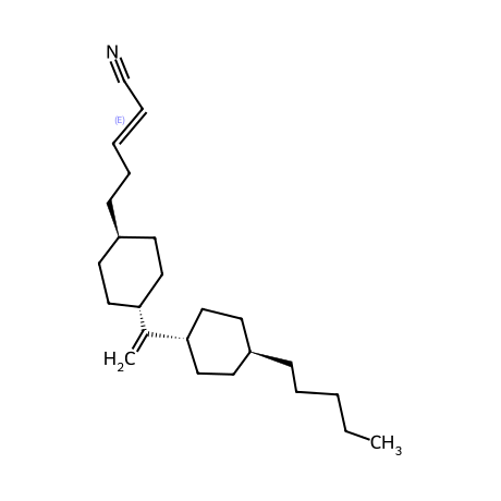 C=C([C@H]1CC[C@H](CC/C=C/C#N)CC1)[C@H]1CC[C@H](CCCCC)CC1